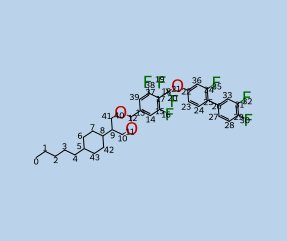 CCCCCC1CCC(C2COC(c3cc(F)c(C(F)(F)Oc4ccc(-c5ccc(F)c(F)c5)c(F)c4)c(F)c3)OC2)CC1